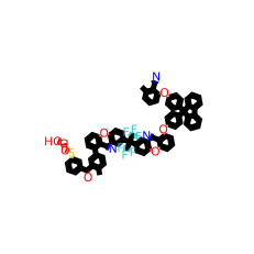 Cc1ccc(-c2cccc(Oc3ccc(C(c4ccc(Oc5cccc(Oc6ccc(C7(c8ccc(Oc9cccc(C)c9C#N)cc8)c8ccccc8-c8ccccc87)cc6)c5C#N)cc4)(C(F)(F)F)C(F)(F)F)cc3)c2C#N)cc1C(=O)c1cccc(SOOO)c1